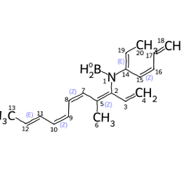 BN(\C(C=C)=C(C)/C=C\C=C/C=C/C)C(/C=C\C=C)=C/C